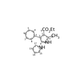 CCOC(=O)c1c(-c2ccccc2)c[nH]c1C.c1cc[nH]c1